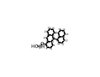 OBOc1cccc2c(-c3cccc4ccccc34)c3ccccc3cc12